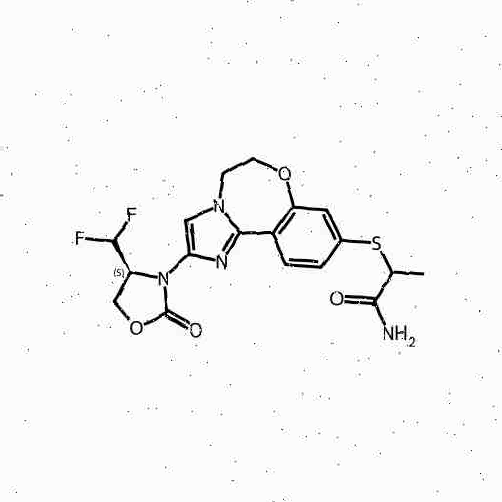 CC(Sc1ccc2c(c1)OCCn1cc(N3C(=O)OC[C@H]3C(F)F)nc1-2)C(N)=O